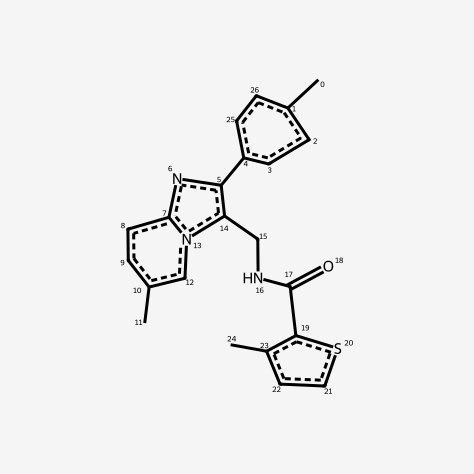 Cc1ccc(-c2nc3ccc(C)cn3c2CNC(=O)c2sccc2C)cc1